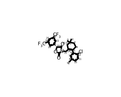 CC1(C)CCC(c2cc(I)ccc2Cl)=C(CN2C(=O)O[C@H](c3cc(C(F)(F)F)cc(C(F)(F)F)c3)C2=O)C1